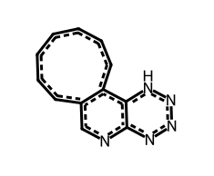 c1cccc2cnc3nnn[nH]c3c2ccc1